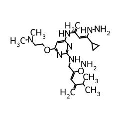 C=C(/C=C(\NN)C1CC1)Nc1cc(OCCN(C)C)nc(NC/C(=C/C(=C)C(C)C)ON)n1